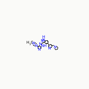 CN1CCN(c2cncc3[nH]c(-c4n[nH]c5ccc(-c6cncc(CN7CCCCC7)c6)cc45)nc23)CC1